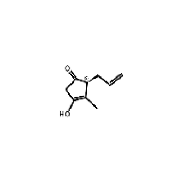 C=CC[C@@H]1C(=O)CC(O)=C1C